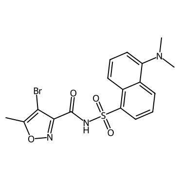 Cc1onc(C(=O)NS(=O)(=O)c2cccc3c(N(C)C)cccc23)c1Br